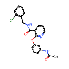 CC(=O)Nc1cccc(Oc2ncccc2C(=O)NCc2ccccc2Cl)c1